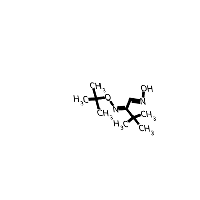 CC(C)(C)ON=C(C=NO)C(C)(C)C